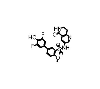 COc1ccc(-c2cc(F)c(O)c(F)c2)cc1S(=O)(=O)Nc1cnc2c(c1)C(=O)NCC2